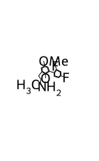 COc1cc2c(c(-c3ccc(F)cc3F)c1)OC(C(C)N)C2